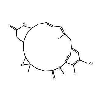 COc1cc2cc(c1Cl)N(C)C(=O)CCC1(C)OC1CC1CC(C/C=C/C=C(\C)C2)NC(=O)O1